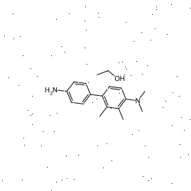 CCO.Cc1c(-c2ccc(N)cc2)ccc(N(C)C)c1C